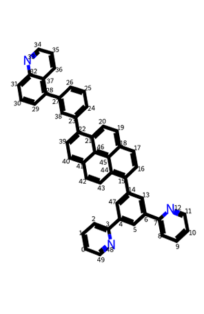 c1ccc(-c2cc(-c3ccccn3)cc(-c3ccc4ccc5c(-c6cccc(-c7cccc8ncccc78)c6)ccc6ccc3c4c65)c2)nc1